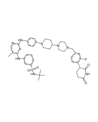 Cc1cnc(Nc2ccc(N3CCC(N4CCN(Cc5ccc(C6CCC(=O)NC6=O)c(F)c5)CC4)CC3)cc2)nc1Nc1cccc(S(=O)(=O)NC(C)(C)C)c1